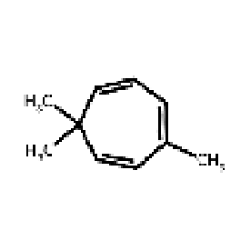 CC1=CC=CC(C)(C)C=C1